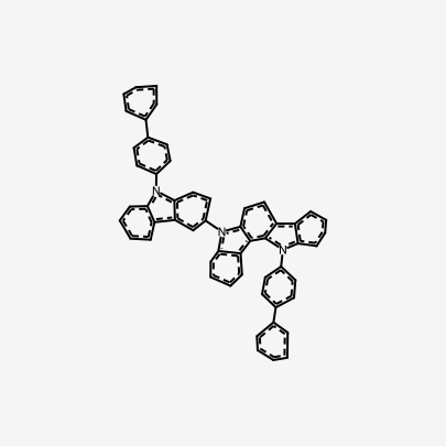 c1ccc(-c2ccc(-n3c4ccccc4c4cc(-n5c6ccccc6c6c5ccc5c7ccccc7n(-c7ccc(-c8ccccc8)cc7)c56)ccc43)cc2)cc1